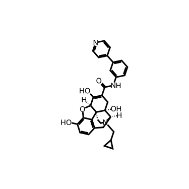 O=C(Nc1cccc(-c2ccncc2)c1)C1=C(O)[C@@H]2Oc3c(O)ccc4c3[C@@]23CCN(CC2CC2)[C@H](C4)[C@]3(O)C1